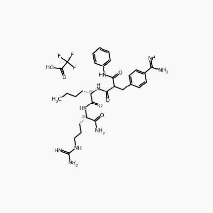 CCCC[C@H](NC(=O)C(Cc1ccc(C(=N)N)cc1)C(=O)Nc1ccccc1)C(=O)N[C@@H](CCCNC(=N)N)C(N)=O.O=C(O)C(F)(F)F